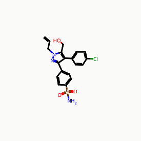 C=CCn1nc(-c2ccc(S(N)(=O)=O)cc2)c(-c2ccc(Cl)cc2)c1CO